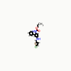 CCCOC(=O)Nc1ccc(NCc2ccc(Cl)s2)cc1-c1ccccc1